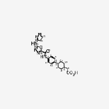 O=C(O)CC1CCC(c2ccc(NC(=O)c3nnc(Nc4nncs4)o3)cc2)CC1